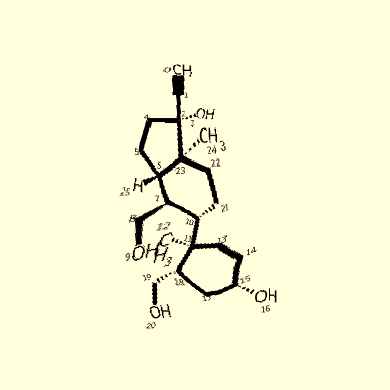 C#C[C@]1(O)CC[C@H]2[C@H](CO)[C@@H]([C@@]3(C)CC[C@H](O)C[C@@H]3CO)CC[C@@]21C